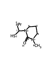 CCCC(S)N1CCCN(C)C1=O